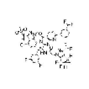 Cn1nc(NS(C)(=O)=O)c2c(Cl)ccc(-n3c([C@H](Cc4cc(F)cc(F)c4)NC(=O)Cn4nc(C(F)F)c5c4C(F)(F)[C@@H]4C[C@H]54)nc4nc(-c5cccc(C(F)F)c5)ccc4c3=O)c21